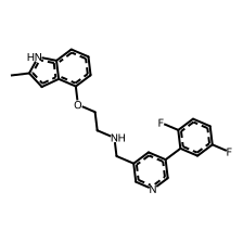 Cc1cc2c(OCCNCc3cncc(-c4cc(F)ccc4F)c3)cccc2[nH]1